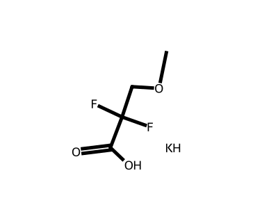 COCC(F)(F)C(=O)O.[KH]